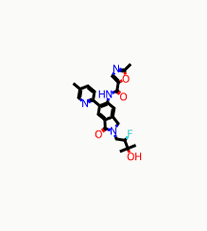 Cc1ccc(-c2cc3c(cc2NC(=O)c2cnc(C)o2)CN(CC(F)C(C)(C)O)C3=O)nc1